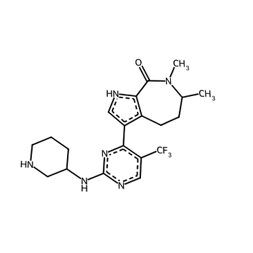 CC1CCc2c(-c3nc(NC4CCCNC4)ncc3C(F)(F)F)c[nH]c2C(=O)N1C